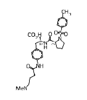 CNCCCC(=O)Nc1ccc(C[C@H](NC(=O)[C@@H]2CCCN2S(=O)(=O)c2ccc(C)cc2)C(=O)O)cc1